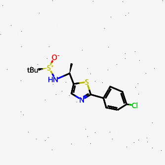 C[C@H](N[S@+]([O-])C(C)(C)C)c1cnc(-c2ccc(Cl)cc2)s1